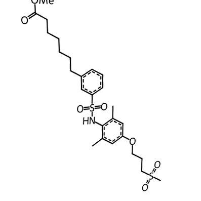 COC(=O)CCCCCCc1cccc(S(=O)(=O)Nc2c(C)cc(OCCCS(C)(=O)=O)cc2C)c1